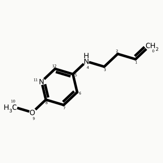 C=CCCNc1ccc(OC)nc1